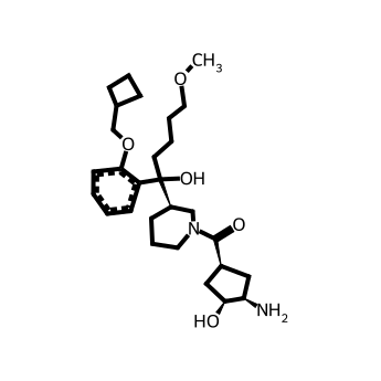 COCCCCC(O)(c1ccccc1OCC1CCC1)[C@@H]1CCCN(C(=O)[C@H]2C[C@@H](N)[C@@H](O)C2)C1